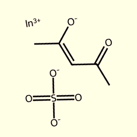 CC(=O)/C=C(/C)[O-].O=S(=O)([O-])[O-].[In+3]